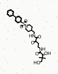 CC(C)(CO)[C@@H](O)C(=O)NCCC(=O)C(=O)NCC1CCN(S(=O)(=O)c2ccc(-c3ccccc3)cc2)CC1